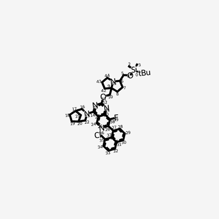 CC(C)(C)[Si](C)(C)OCC1CCC2(COc3nc(N4CC5CCC(C5)C4)c4cnc(-c5cccc6cccc(Cl)c56)c(F)c4n3)CCCN12